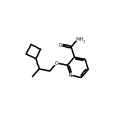 CC(COc1ncccc1C(N)=O)C1CCC1